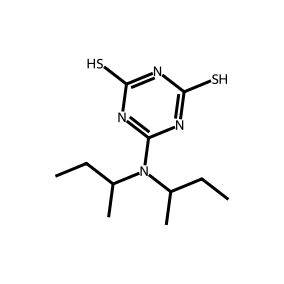 CCC(C)N(c1nc(S)nc(S)n1)C(C)CC